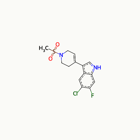 CS(=O)(=O)N1CC=C(c2c[nH]c3cc(F)c(Cl)cc23)CC1